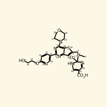 CCC1(N(C)Cc2cc3nc(-c4ccc(OCCO)nc4)nc(N4CCOCC4)c3s2)N=CC(C(=O)O)=CN1